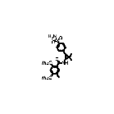 COc1cc(OC)c(C(=O)NC2C(c3ccc(S(N)(=O)=O)cc3)C2(C)C)cc1C